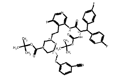 CC(C)(C)OC(=O)N[C@H](C(=O)Nc1cncc(F)c1CC[C@@H]1CN(C(=O)OC(C)(C)C)C[C@@H](CSc2cccc(C#N)c2)O1)C(c1ccc(F)cc1)c1ccc(F)cc1